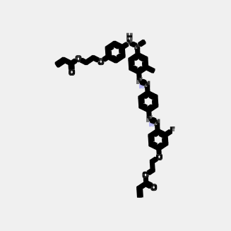 C=CC(=O)OCCOc1ccc(NN(C)c2ccc(/N=N/c3ccc(/N=N/c4ccc(OCCOC(=O)C=C)cc4F)cc3)c(C)c2)cc1